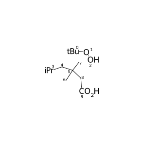 CC(C)(C)OO.CC(C)CC(C)(C)CC(=O)O